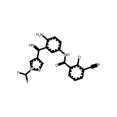 N#Cc1cccc(C(=O)Nc2ccc(N)c(C(=N)c3cnn(C(F)F)c3)c2)c1Cl